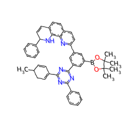 CC1C=CC(c2nc(-c3ccccc3)nc(-c3cc(B4OC(C)(C)C(C)(C)O4)cc(-c4ccc5ccc6c(c5n4)NC(c4ccccc4)C=C6)c3)n2)=CC1